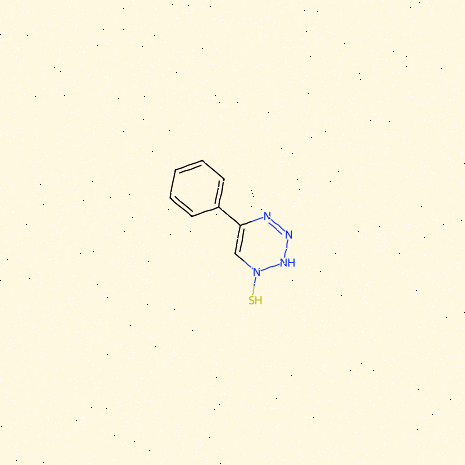 SN1C=C(c2ccccc2)N=NN1